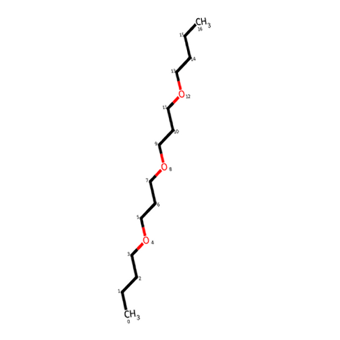 CCCCOCCCOCCCOCCCC